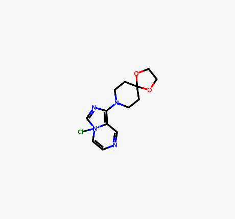 Cl[N+]12C=CN=CC1=C(N1CCC3(CC1)OCCO3)N=C2